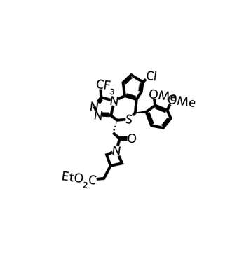 CCOC(=O)CC1CN(C(=O)C[C@H]2S[C@H](c3cccc(OC)c3OC)c3cc(Cl)ccc3-n3c2nnc3C(F)(F)F)C1